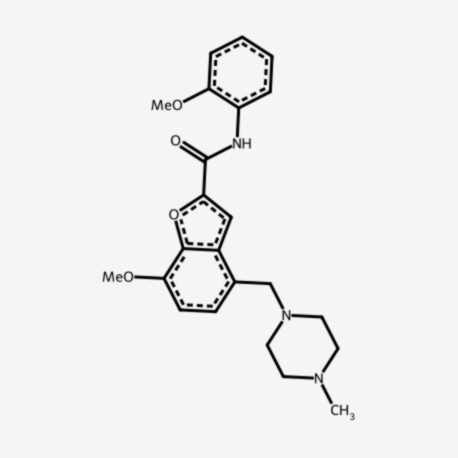 COc1ccccc1NC(=O)c1cc2c(CN3CCN(C)CC3)ccc(OC)c2o1